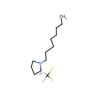 CCCCCCCCN1CCC[C@H]1C(F)(F)F